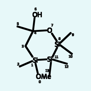 CO[Si]1(C)CC(C)(O)O[Si](C)(C)[Si]1(C)C